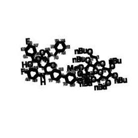 CCCCOCC[C@@H](O[C@@H]1OC(COCCCC)[C@@H](OCCCC)C(OCCCC)[C@@H]1OCCCC)C(OCCCC)[C@H](OCCCC)[C@H](CS(=O)(=O)Oc1ccc(-c2ccc([C@@H](Nc3ccc(F)cc3)[C@@H](CC[C@H](O)c3ccc(F)cc3)C(=O)N3C(=O)OC[C@@H]3Cc3ccccc3)cc2)cc1)OC